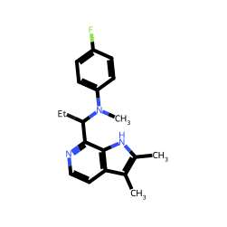 CCC(c1nccc2c(C)c(C)[nH]c12)N(C)c1ccc(F)cc1